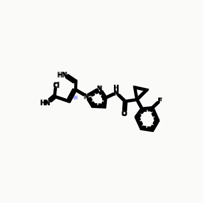 N=C/C(=C\C(=N)Cl)n1ccc(NC(=O)C2(c3ccccc3F)CC2)n1